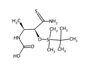 C[C@H](NC(=O)O)[C@H](O[Si](C)(C)C(C)(C)C)C(N)=S